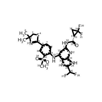 CC1(C)CSC(c2ccc(Nc3cc(NC(=O)[C@@H]4CC4(F)F)nc4[nH]c(C(F)F)nc34)c(S(C)(=O)=O)c2)=N1